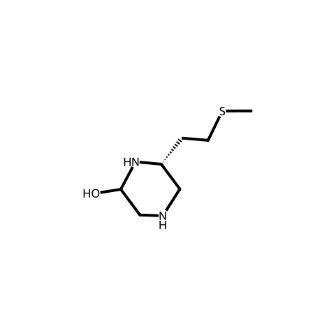 CSCC[C@@H]1CNCC(O)N1